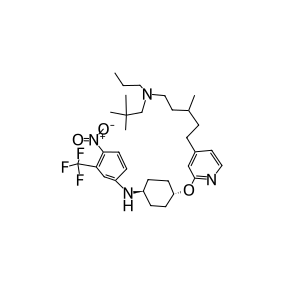 CCCN(CCC(C)CCc1ccnc(O[C@H]2CC[C@H](Nc3ccc([N+](=O)[O-])c(C(F)(F)F)c3)CC2)c1)CC(C)(C)C